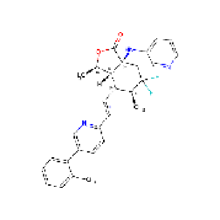 Cc1ccccc1-c1ccc(/C=C/[C@@H]2[C@@H]3[C@@H](C)OC(=O)[C@]3(Nc3cccnc3)CC(F)(F)[C@H]2C)nc1